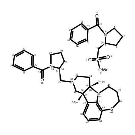 COS(=O)(=O)C[C@@H]1CCCN1C(=O)c1ccccc1.O=C(c1ccccc1)N1CCC[C@H]1CN1CC[C@H]2[C@@H](C1)c1cccc3c1N2CCCS3